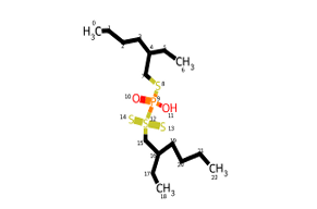 CCCCC(CC)CSP(=O)(O)S(=S)(=S)CC(CC)CCCC